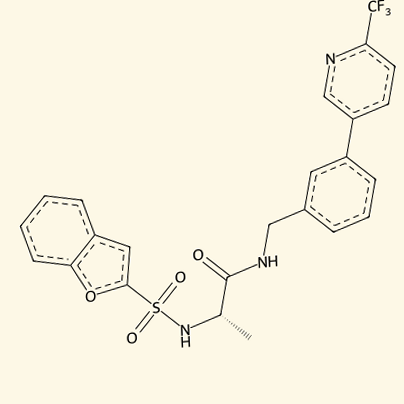 C[C@H](NS(=O)(=O)c1cc2ccccc2o1)C(=O)NCc1cccc(-c2ccc(C(F)(F)F)nc2)c1